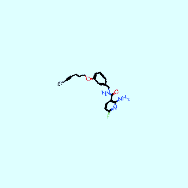 CCC#CCCCOc1cccc(CNC(=O)c2ccc(F)nc2N)c1